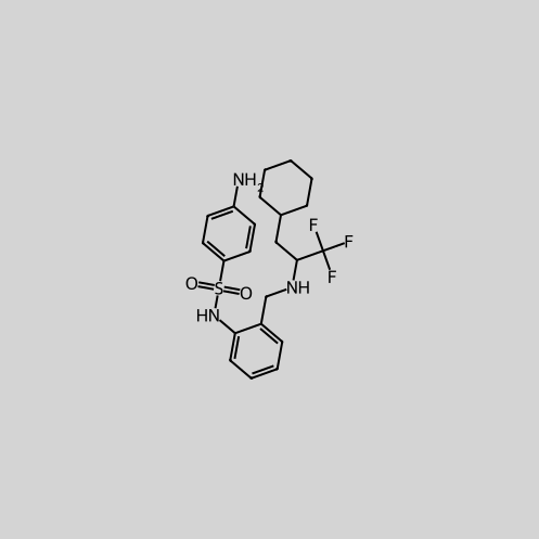 Nc1ccc(S(=O)(=O)Nc2ccccc2CNC(CC2CCCCC2)C(F)(F)F)cc1